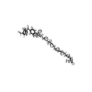 CCc1cnn(C(C)c2ccc(C(=O)NCCOCCOCCOCCOCCOCCNC)cc2)c1